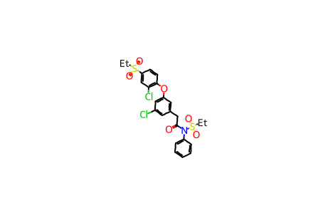 CCS(=O)(=O)c1ccc(Oc2cc(Cl)cc(CC(=O)N(c3ccccc3)S(=O)(=O)CC)c2)c(Cl)c1